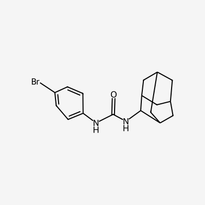 O=C(Nc1ccc(Br)cc1)NC1C2CC3CC(C2)CC1C3